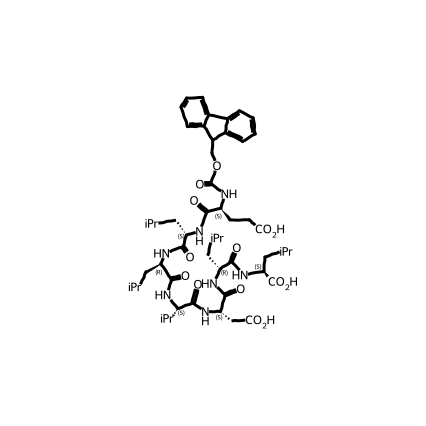 CC(C)C[C@H](NC(=O)[C@@H](CC(C)C)NC(=O)[C@H](CC(=O)O)NC(=O)[C@@H](NC(=O)[C@@H](CC(C)C)NC(=O)[C@H](CC(C)C)NC(=O)[C@H](CCC(=O)O)NC(=O)OCC1c2ccccc2-c2ccccc21)C(C)C)C(=O)O